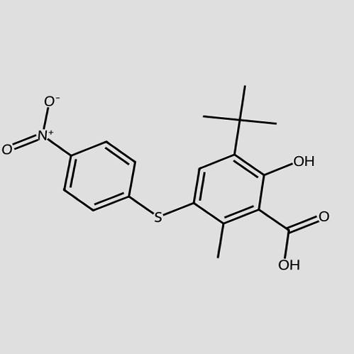 Cc1c(Sc2ccc([N+](=O)[O-])cc2)cc(C(C)(C)C)c(O)c1C(=O)O